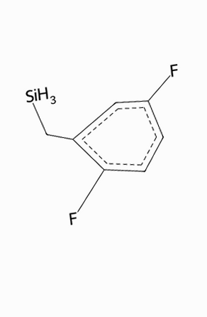 Fc1ccc(F)c(C[SiH3])c1